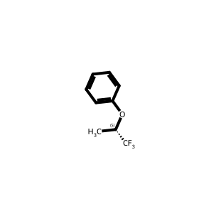 C[C@H](Oc1ccccc1)C(F)(F)F